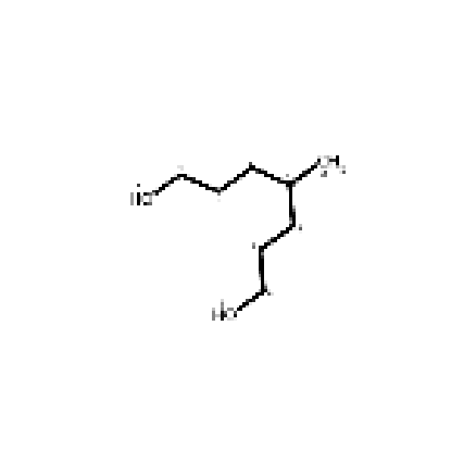 C[C](CCCO)CCCO